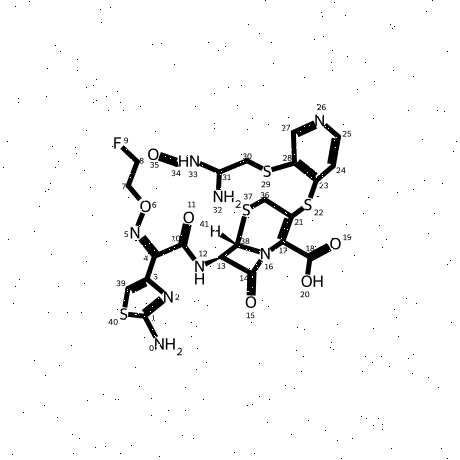 Nc1nc(/C(=N/OCCF)C(=O)N[C@@H]2C(=O)N3C(C(=O)O)=C(Sc4ccncc4SCC(N)NC=O)CS[C@@H]23)cs1